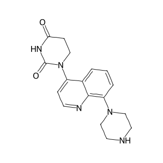 O=C1CCN(c2ccnc3c(N4CCNCC4)cccc23)C(=O)N1